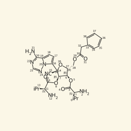 CC(C)[C@H](N)C(=O)O[C@H]1[C@@H](OC(=O)[C@@H](N)C(C)C)[C@](C#N)(c2ccc3c(N)ncnn23)O[C@@H]1COC(=O)Cc1ccccc1